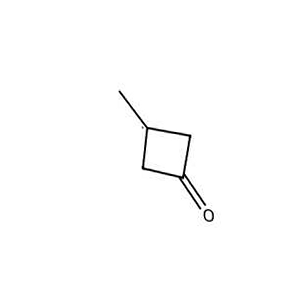 C[C]1CC(=O)C1